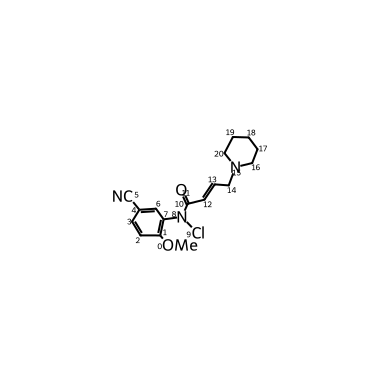 COc1ccc(C#N)cc1N(Cl)C(=O)C=CCN1CCCCC1